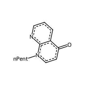 CCCCCn1ccc(=O)c2cccnc21